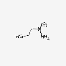 CCCN(N)CCS